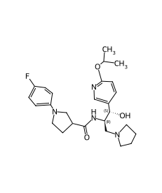 CC(C)Oc1ccc([C@H](O)[C@@H](CN2CCCC2)NC(=O)C2CCN(c3ccc(F)cc3)C2)cn1